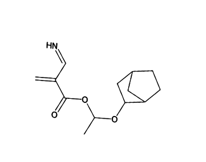 C=C(C=N)C(=O)OC(C)OC1CC2CCC1C2